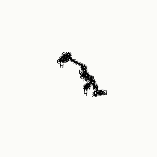 CC1(C)CCC(CN2CCN(c3ccc(C(=O)NS(=O)(=O)c4ccc(NCC5CCN(CCCCCCCCC#Cc6cccc7c6C(=O)N(C6CCC(=O)NC6=O)C7=O)CC5)c([N+](=O)[O-])c4)c(Oc4cnc5[nH]ccc5c4)c3)CC2)=C(c2ccc(Cl)cc2)C1